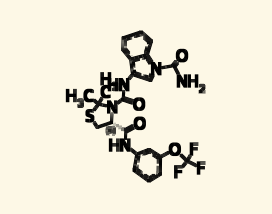 CC1(C)SC[C@@H](C(=O)Nc2cccc(OC(F)(F)F)c2)N1C(=O)Nc1cn(C(N)=O)c2ccccc12